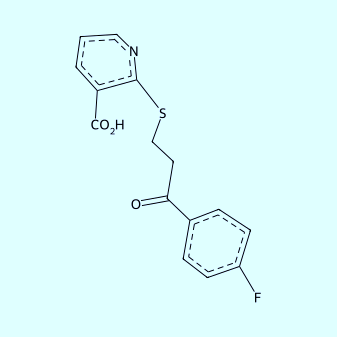 O=C(CCSc1ncccc1C(=O)O)c1ccc(F)cc1